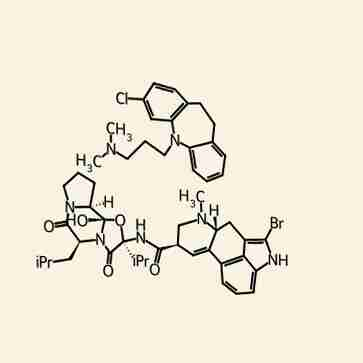 CC(C)C[C@H]1C(=O)N2CCC[C@H]2[C@]2(O)O[C@](NC(=O)[C@@H]3C=C4c5cccc6[nH]c(Br)c(c56)C[C@H]4N(C)C3)(C(C)C)C(=O)N12.CN(C)CCCN1c2ccccc2CCc2ccc(Cl)cc21